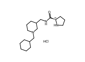 Cl.O=C(NCC1CCCN(CC2CCCCC2)C1)[C@H]1CCCN1